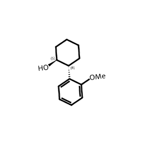 COc1ccccc1[C@H]1CCCC[C@@H]1O